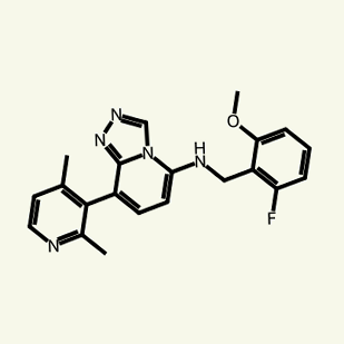 COc1cccc(F)c1CNc1ccc(-c2c(C)ccnc2C)c2nncn12